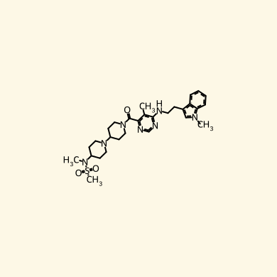 Cc1c(NCCc2cn(C)c3ccccc23)ncnc1C(=O)N1CCC(N2CCC(N(C)S(C)(=O)=O)CC2)CC1